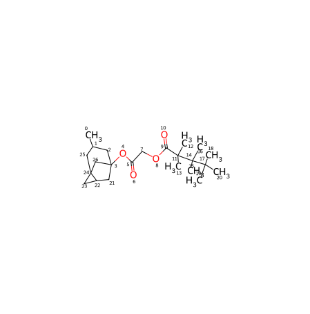 CC1CC2(OC(=O)COC(=O)C(C)(C)C(C)(C)C(C)(C)C)CC3CC3(C1)C2